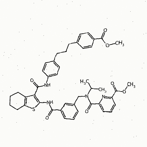 COC(=O)c1ccc(CCCc2ccc(NC(=O)c3c(NC(=O)c4cccc(CN(C(=O)c5cccc(C(=O)OC)n5)C(C)C)c4)sc4c3CCCC4)cc2)cc1